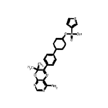 CC1(C)Oc2ncnc(N)c2N=C1c1ccc(C2CCC(OP(=O)(O)c3ccsc3)CC2)cc1